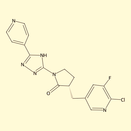 O=C1[C@@H](Cc2cnc(Cl)c(F)c2)CCN1c1nnc(-c2ccncc2)[nH]1